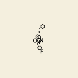 O=c1c2oc(C#CCc3ccccc3)cc2ncn1Cc1ccc(F)cc1